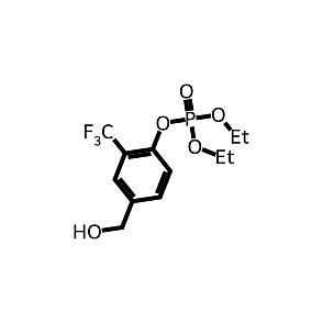 CCOP(=O)(OCC)Oc1ccc(CO)cc1C(F)(F)F